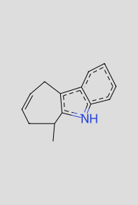 CC1CC=CCc2c1[nH]c1ccccc21